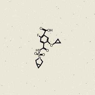 O=C(O)c1cc(OC2CC2)c(C(=O)NS(=O)(=O)N2CC3CC3C2)cc1F